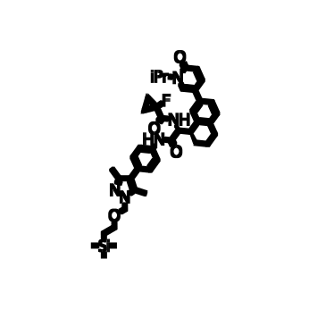 Cc1nn(COCC[Si](C)(C)C)c(C)c1-c1ccc(NC(=O)[C@@H](NC(=O)C2(F)CC2)[C@@H]2CCCc3ccc(-c4ccc(=O)n(C(C)C)c4)cc32)cc1